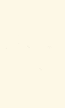 COC(CNC(=O)OC(C)(C)C)c1ncsc1Br